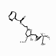 CCCC[Si](C)(C)OC[C@]1(O)O[C@H](COC(=O)c2ccccc2)C[C@@H]1O